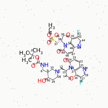 CC(C)(C)OC(=O)NCC1CN(C[C@@H]2COc3c(F)cnc4ccc(=O)n2c34)CCC1O.COS(=O)(=O)C[C@@H]1COc2c(F)cnc3ccc(=O)n1c23